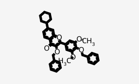 COc1cc(-c2oc3cc(C4CCCCC4)ccc3c(=O)c2OCc2ccccc2)cc(OC)c1OCc1ccccc1